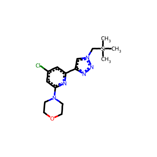 C[Si](C)(C)Cn1cc(-c2cc(Cl)cc(N3CCOCC3)n2)nn1